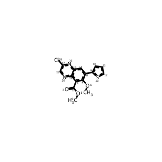 COC(=O)c1c(OC)c(-c2cccs2)cc2nc(Cl)cnc12